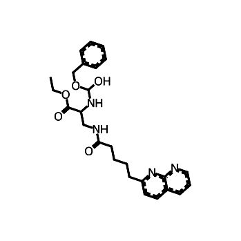 CCOC(=O)C(CNC(=O)CCCCc1ccc2cccnc2n1)NC(O)OCc1ccccc1